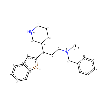 CN(CCC(c1cc2ccccc2s1)C1CCCNC1)Cc1ccccc1